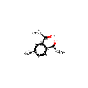 COC(=O)c1ccc(C(C)(C)C)cc1C(=O)OC